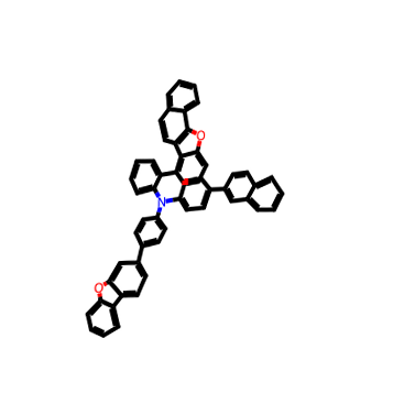 c1ccc(N(c2ccc(-c3ccc4ccccc4c3)cc2)c2ccc(-c3ccc4c(c3)oc3ccccc34)cc2)c(-c2cccc3oc4c5ccccc5ccc4c23)c1